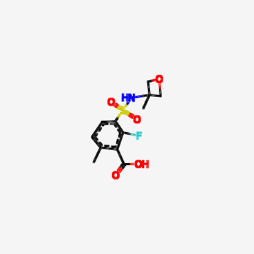 Cc1ccc(S(=O)(=O)NC2(C)COC2)c(F)c1C(=O)O